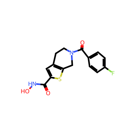 O=C(NO)c1cc2c(s1)CN(C(=O)c1ccc(F)cc1)CC2